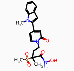 Cn1c(-c2ccn(CCC(C)(C(=O)NO)S(C)(=O)=O)c(=O)c2)cc2ccccc21